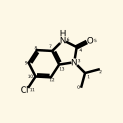 CC(C)n1c(=O)[nH]c2ccc(Cl)cc21